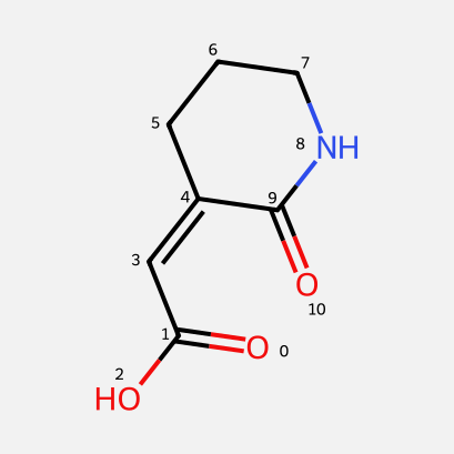 O=C(O)/C=C1/CCCNC1=O